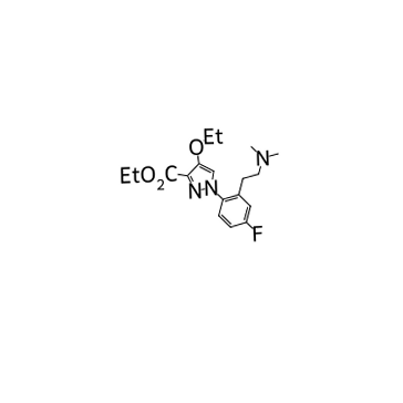 CCOC(=O)c1nn(-c2ccc(F)cc2CCN(C)C)cc1OCC